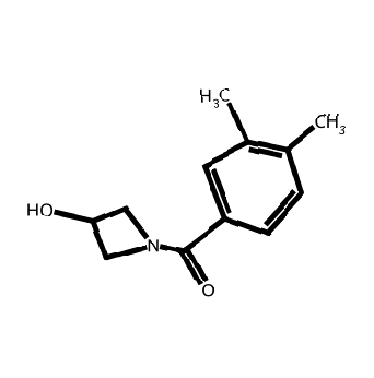 Cc1ccc(C(=O)N2CC(O)C2)cc1C